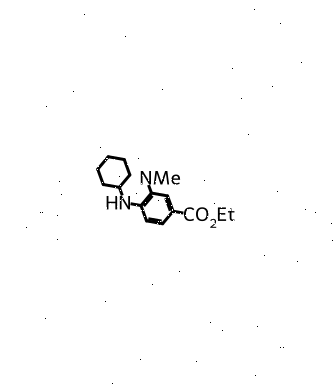 CCOC(=O)c1ccc(NC2CCCCC2)c(NC)c1